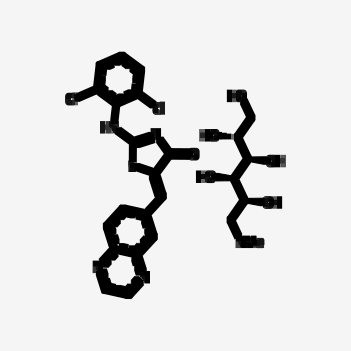 CNC[C@H](O)[C@@H](O)[C@H](O)[C@H](O)CO.O=C1N=C(Nc2c(Cl)cccc2Cl)S/C1=C\c1ccc2nccnc2c1